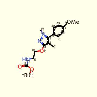 COc1ccc(-c2c(C)c(OCCNC(=O)OC(C)(C)C)nn2C)cc1